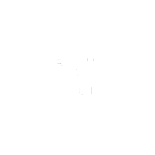 B#S(C)=O